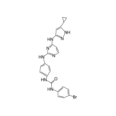 O=C(Nc1ccc(Br)cc1)Nc1ccc(Nc2nccc(Nc3cc(C4CC4)[nH]n3)n2)cc1